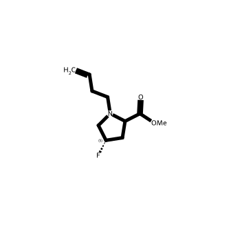 C=CCCN1C[C@@H](F)CC1C(=O)OC